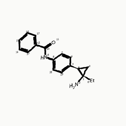 CC[C@]1(N)C[C@@H]1c1ccc(NC(=O)c2ccccc2)cc1